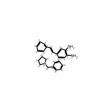 Nc1ccc(C=Cc2ccccc2)cc1N.c1ccc(CN2CCCC2)cc1